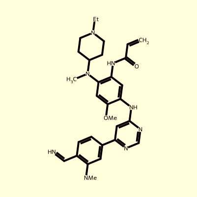 C=CC(=O)Nc1cc(Nc2cc(-c3ccc(C=N)c(NC)c3)ncn2)c(OC)cc1N(C)C1CCN(CC)CC1